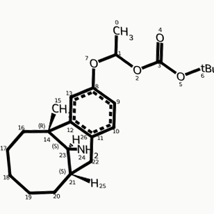 CC(OC(=O)OC(C)(C)C)Oc1ccc2c(c1)[C@@]1(C)CCCCC[C@@H](C2)[C@@H]1N